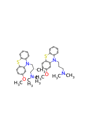 COc1ccc2c(c1)N(CCCN(C)C)c1ccccc1S2.COc1ccc2c(c1)N(C[C@H](C)CN(C)C)c1ccccc1S2